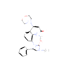 CCn1c(=O)cc(N2CCOCC2)c2cccc(-n3c(-c4ccccc4)cn(C(C)C)c3=O)c21